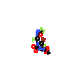 CC(C)(C)OC(=O)N1CCN(c2c(N(Cc3ccc(-c4nnc(C(F)F)o4)cc3F)c3cc(F)cc(Br)c3)c(=O)c2=O)CC1